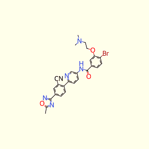 Cc1nc(-c2ccc(-c3ccc(NC(=O)c4ccc(Br)c(OCCN(C)C)c4)cn3)c(C#N)c2)no1